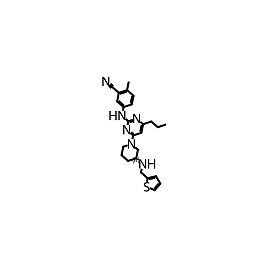 CCCc1cc(N2CCC[C@@H](NCc3cccs3)C2)nc(Nc2ccc(C)c(C#N)c2)n1